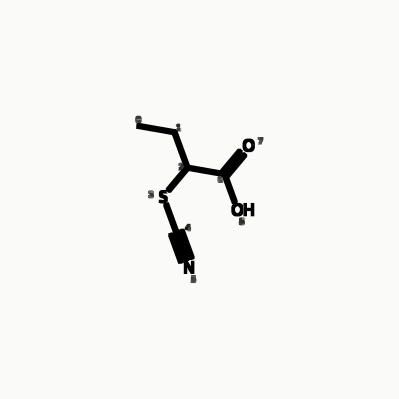 CCC(SC#N)C(=O)O